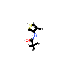 Cc1cscc1NC(=O)C(C)(C)C